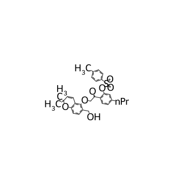 CCCc1ccc(C(=O)COc2c(CO)ccc3c2C=CC(C)(C)O3)c(OS(=O)(=O)c2ccc(C)cc2)c1